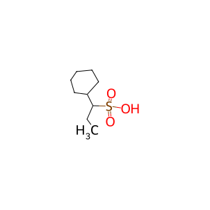 CCC(C1CCCCC1)S(=O)(=O)O